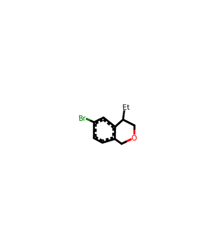 CCC1COCc2ccc(Br)cc21